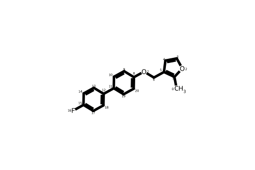 Cc1occc1COc1ccc(-c2ccc(F)cc2)cc1